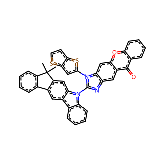 CC1(C)c2ccccc2-c2cc3c4ccccc4n(-c4nc5cc6c(=O)c7ccccc7oc6cc5n4-c4cc5sccc5s4)c3cc21